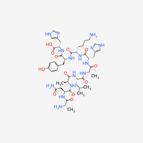 CC(C)C[C@H](NC(=O)[C@H](C)NC(=O)[C@H](CC(N)=O)NC(=O)[C@H](C)N)C(=O)N[C@@H](C)C(=O)N[C@@H](Cc1c[nH]cn1)C(=O)N[C@@H](CCCCN)C(=O)N[C@@H](Cc1ccc(O)cc1)C(=O)N[C@@H](Cc1c[nH]cn1)C(=O)O